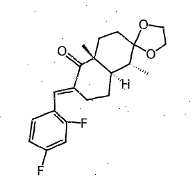 C[C@@H]1[C@H]2CC/C(=C\c3ccc(F)cc3F)C(=O)[C@]2(C)CCC12OCCO2